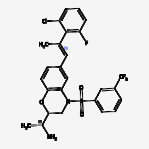 C/C(=C\c1ccc2c(c1)N(S(=O)(=O)c1cccc(C(F)(F)F)c1)CC([C@@H](C)N)O2)c1c(F)cccc1Cl